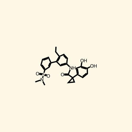 CCc1ccc(NC(=O)C2(c3ccc(O)c(O)c3)CC2)cc1-c1cccc(S(=O)(=O)N(C)C)c1